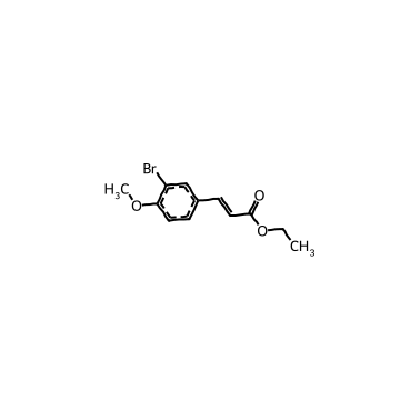 CCOC(=O)/C=C/c1ccc(OC)c(Br)c1